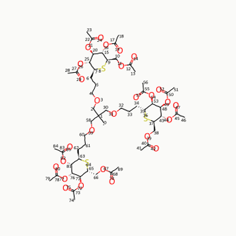 [CH2]C(COCCC[C@@H]1S[C@H](COC(C)=O)[C@@H](OC(C)=O)[C@H](OC(C)=O)[C@H]1OC(C)=O)(COCCC[C@H]1S[C@H](COC(C)=O)[C@@H](OC(C)=O)[C@H](OC(C)=O)[C@@H]1OC(C)=O)COCCC[C@H]1S[C@H](COC(C)=O)[C@@H](OC(C)=O)[C@H](OC(C)=O)[C@@H]1OC(C)=O